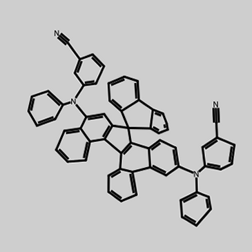 N#Cc1cccc(N(c2ccccc2)c2ccc3c4c(c5ccccc5c3c2)-c2c(cc(N(c3ccccc3)c3cccc(C#N)c3)c3ccccc23)C42c3ccccc3-c3ccccc32)c1